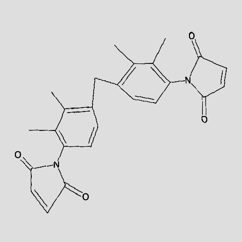 Cc1c(Cc2ccc(N3C(=O)C=CC3=O)c(C)c2C)ccc(N2C(=O)C=CC2=O)c1C